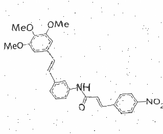 COc1cc(C=Cc2cccc(NC(=O)/C=C/c3ccc([N+](=O)[O-])cc3)c2)cc(OC)c1OC